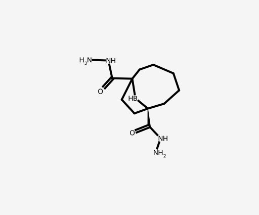 NNC(=O)C12B[C@](C(=O)NN)(CCCCC1)CC2